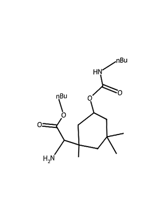 CCCCNC(=O)OC1CC(C)(C)CC(C)(C(N)C(=O)OCCCC)C1